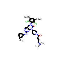 COc1cc(OC)c(Cl)c(N2Cc3cnc(Nc4cccc(C)c4)nc3N(C3CCN(C(=O)C=CCN(C)C)CC3)C2=O)c1Cl